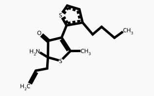 C=CCC1(N)SC(C)=C(c2sccc2CCCC)C1=O